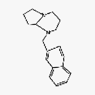 c1ccc2cc(CN3CCCN4CCCC43)ccc2c1